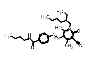 CCCCNC(=O)c1ccc(/N=N/c2c(C)c(C#N)c(=O)n(CC(CC)CCCC)c2O)cc1